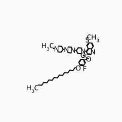 CCCCCCCCCCCCCCCCOc1ccc(S(=O)(=O)c2cnc3ccc(SC)cc3c2N2CCC(N3CCN(C4CCN(CC)CC4)CC3)CC2)cc1F